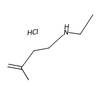 C=C(C)CCNCC.Cl